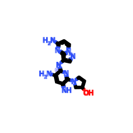 N=C1C=C(N)/C(=N/c2cnn3ccc(N)nc23)N=C1N1CCC(O)C1